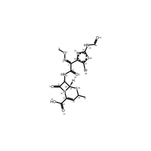 CON=C(C(=O)NC1C(=O)N2C(C(=O)O)=CC(C)S[C@@H]12)c1nc(NC=O)sc1Br